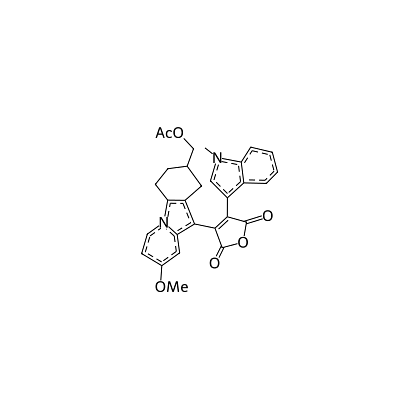 COc1ccn2c3c(c(C4=C(c5cn(C)c6ccccc56)C(=O)OC4=O)c2c1)CC(COC(C)=O)CC3